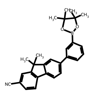 CC1(C)c2cc(C#N)ccc2-c2ccc(-c3cccc(B4OC(C)(C)C(C)(C)O4)c3)cc21